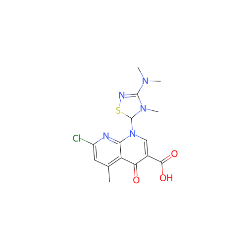 Cc1cc(Cl)nc2c1c(=O)c(C(=O)O)cn2C1SN=C(N(C)C)N1C